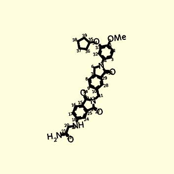 COc1ccc(N2Cc3ccc(CN4C(=O)c5ccc(NCC(N)=O)cc5C4=O)cc3C2=O)cc1OC1CCCC1